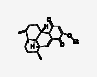 C=C1CC[C@@H]2C3C(=O)C=C(OCC)C(=O)C3=C[C@]3(C)[C@@H](C)CC[C@@]1(C)[C@@H]23